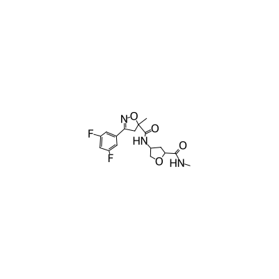 CNC(=O)C1CC(NC(=O)C2(C)CC(c3cc(F)cc(F)c3)=NO2)CO1